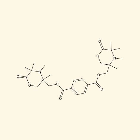 CN1C(C)(COC(=O)c2ccc(C(=O)OCC3(C)COC(=O)C(C)(C)N3C)cc2)COC(=O)C1(C)C